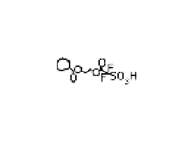 O=C(OCCOC(=O)C(F)(F)S(=O)(=O)O)C1CCCCC1